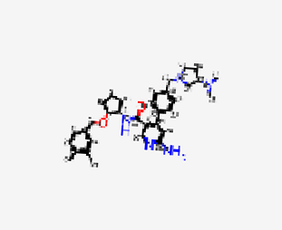 Cc1ccc(CO[C@H]2CCC[C@@H]2NC(=O)c2cnc(N)cc2-c2ccc(CN3CC[C@H](N(C)C)C3)cc2)cc1C